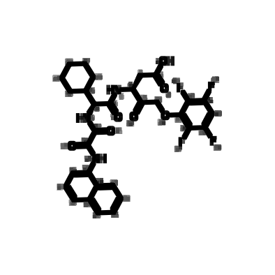 O=C(O)C[C@H](NC(=O)[C@@H](NC(=O)C(=O)Nc1cccc2ccccc12)C1CCCCC1)C(=O)COc1c(F)c(F)cc(F)c1F